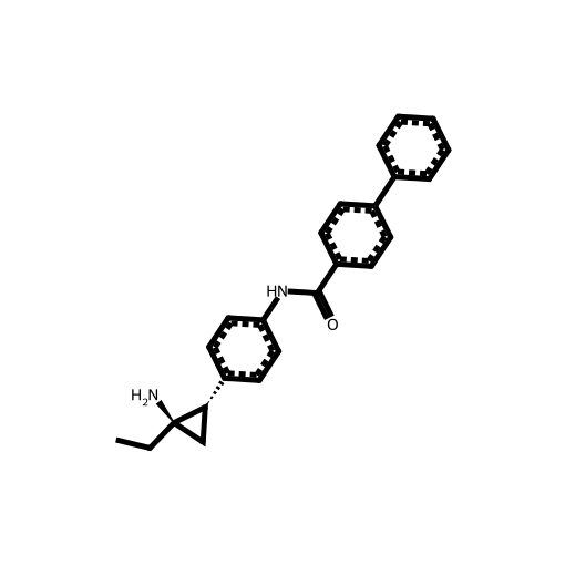 CC[C@@]1(N)C[C@H]1c1ccc(NC(=O)c2ccc(-c3ccccc3)cc2)cc1